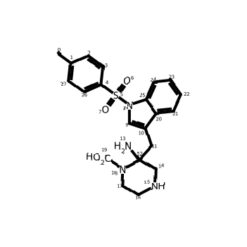 Cc1ccc(S(=O)(=O)n2cc(CC3(N)CNCCN3C(=O)O)c3ccccc32)cc1